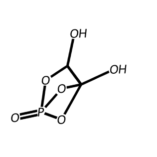 O=P12OC(O)C(O)(O1)O2